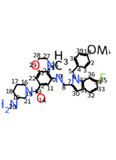 COc1ccc(Cn2c(/C=N/c3cc(C(=O)N4CCCC(N)C4)cc4c3N(C)CCO4)cc3ccc(F)cc32)cc1